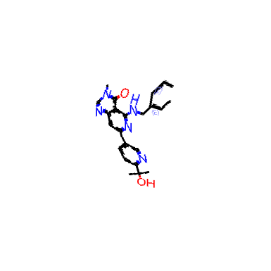 C/C=C\C(=C/C)CNc1nc(-c2ccc(C(C)(C)O)nc2)cc2ncn(C)c(=O)c12